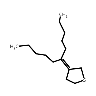 CCCCCC(CCCCC)=C1CCSC1